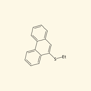 CCSc1cc2ccccc2c2ccccc12